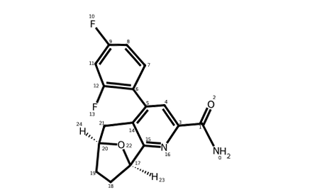 NC(=O)c1cc(-c2ccc(F)cc2F)c2c(n1)[C@H]1CC[C@@H](C2)O1